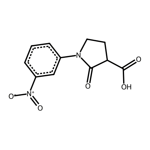 O=C(O)C1CCN(c2cccc([N+](=O)[O-])c2)C1=O